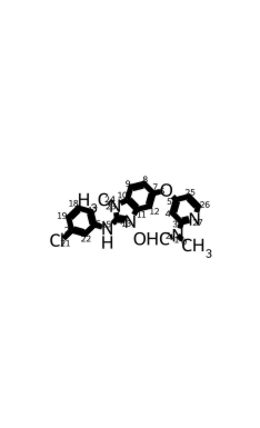 CN(C=O)c1cc(Oc2ccc3c(c2)nc(Nc2cccc(Cl)c2)n3C)ccn1